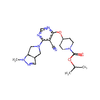 CC(C)OC(=O)N1CCC(Oc2ncnc(N3CC4C=NN(C)C4C3)c2C#N)CC1